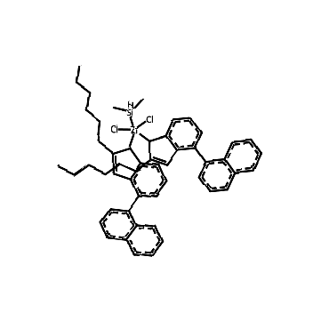 CCCCCCC1=Cc2c(-c3cccc4ccccc34)cccc2[CH]1[Zr]([Cl])([Cl])([CH]1C(CCCCCC)=Cc2c(-c3cccc4ccccc34)cccc21)[SiH](C)C